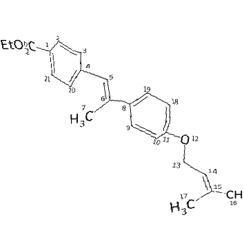 CCOC(=O)c1ccc(/C=C(\C)c2ccc(OCC=C(C)C)cc2)cc1